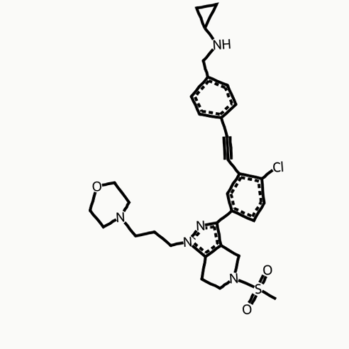 CS(=O)(=O)N1CCc2c(c(-c3ccc(Cl)c(C#Cc4ccc(CNC5CC5)cc4)c3)nn2CCCN2CCOCC2)C1